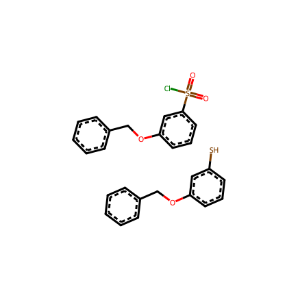 O=S(=O)(Cl)c1cccc(OCc2ccccc2)c1.Sc1cccc(OCc2ccccc2)c1